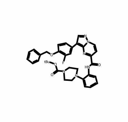 CC(C)(C)OC(=O)N1CCN(c2ccccc2NC(=O)c2ccn3ncc(-c4ccc(OCc5ccccc5)c(F)c4)c3n2)CC1